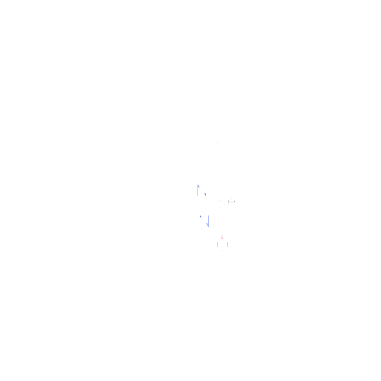 Cc1ccc(N=C2[Se]CC(=O)N2c2ccc(C)cc2)cc1